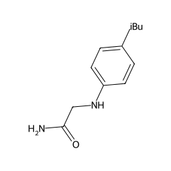 CCC(C)c1ccc(NCC(N)=O)cc1